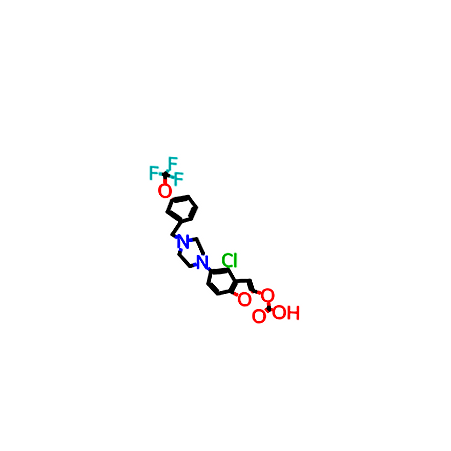 O=C(O)Oc1cc2c(Cl)c(N3CCN(Cc4cccc(OC(F)(F)F)c4)CC3)ccc2o1